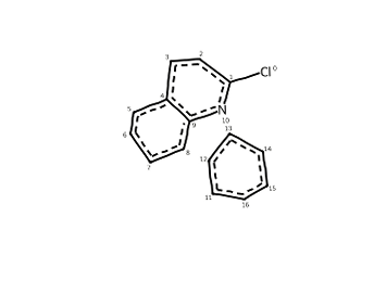 Clc1ccc2ccccc2n1.c1ccccc1